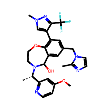 COc1ccnc([C@H](C)N2CCOc3c(-c4cn(C)nc4C(F)(F)F)cc(Cn4ccnc4C)cc3C2O)c1